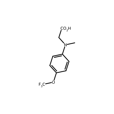 CN(CC(=O)O)c1ccc(OC(F)(F)F)cc1